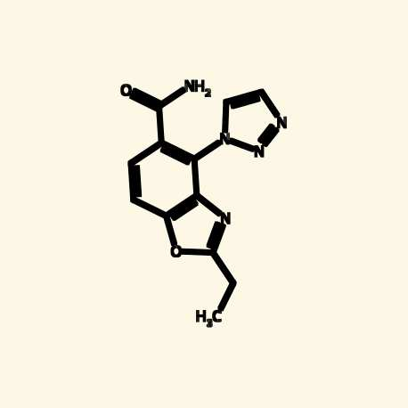 CCc1nc2c(-n3ccnn3)c(C(N)=O)ccc2o1